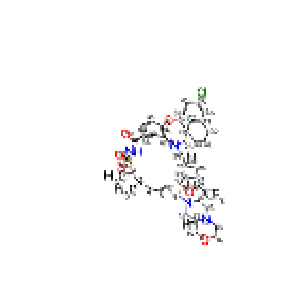 C[C@@H]1[C@@H](C)C/C=C/[C@](CN2CCN3CCOC[C@@H]3C2)(OCC(F)(F)F)[C@@H]2CC[C@H]2CN2C[C@@]3(CCCc4cc(Cl)ccc43)COc3ccc(cc32)C(=O)NS1(=O)=O